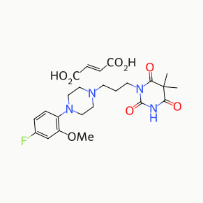 COc1cc(F)ccc1N1CCN(CCCN2C(=O)NC(=O)C(C)(C)C2=O)CC1.O=C(O)C=CC(=O)O